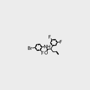 C=CCC(C(=O)Nc1ccc(Br)cc1F)c1cc(F)cc(F)c1